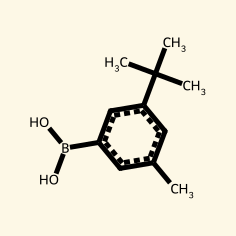 Cc1cc(B(O)O)cc(C(C)(C)C)c1